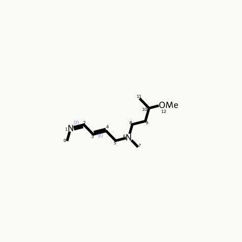 C/N=C\C=C\CN(C)CCC(C)OC